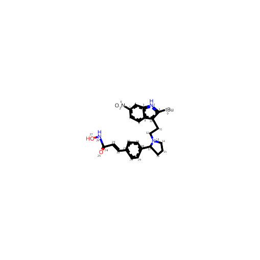 CC(C)(C)c1[nH]c2cc([N+](=O)[O-])ccc2c1CCN1CCCC1c1ccc(C=CC(=O)NO)cc1